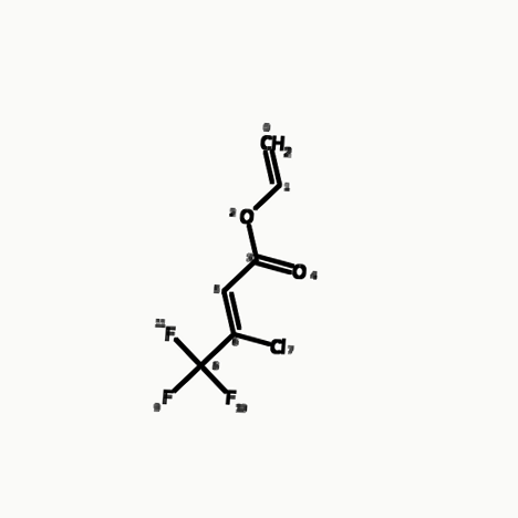 C=COC(=O)C=C(Cl)C(F)(F)F